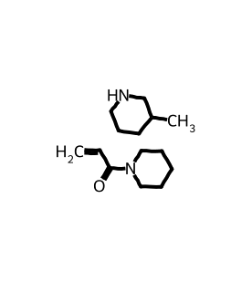 C=CC(=O)N1CCCCC1.CC1CCCNC1